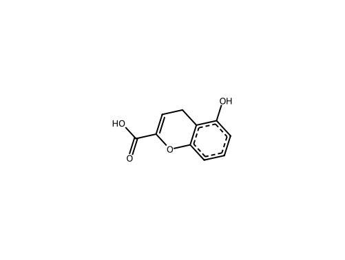 O=C(O)C1=CCc2c(O)cccc2O1